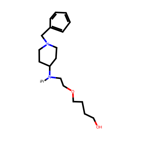 CC(C)N(CCOCCCCO)C1CCN(Cc2ccccc2)CC1